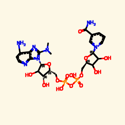 CN(C)c1nc2c(N)ccnc2n1[C@@H]1O[C@H](COP(=O)(O)OP(=O)(O)OC[C@H]2O[C@@H]([n+]3cccc(C(N)=O)c3)C(O)C2O)[C@H](O)C1O